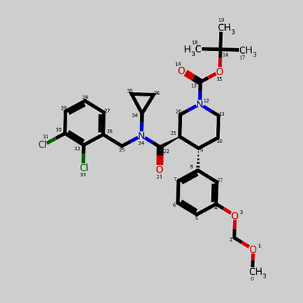 COCOc1cccc([C@H]2CCN(C(=O)OC(C)(C)C)C[C@@H]2C(=O)N(Cc2cccc(Cl)c2Cl)C2CC2)c1